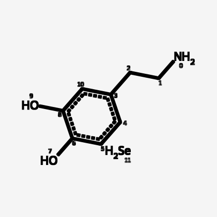 NCCc1ccc(O)c(O)c1.[SeH2]